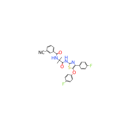 CC(C)(NC(=O)c1cccc(C#N)c1)C(=O)Nc1nc(-c2ccc(F)cc2)c(Oc2ccc(F)cc2)s1